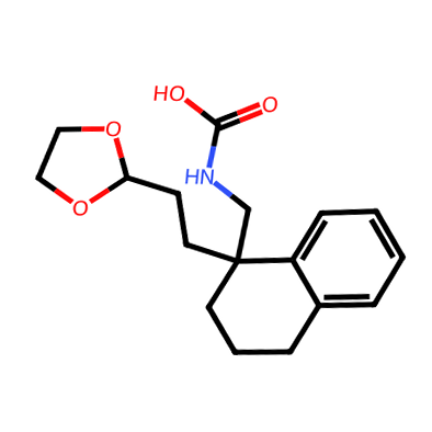 O=C(O)NCC1(CCC2OCCO2)CCCc2ccccc21